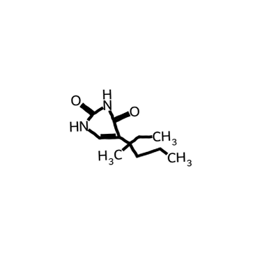 CCCC(C)(CC)c1c[nH]c(=O)[nH]c1=O